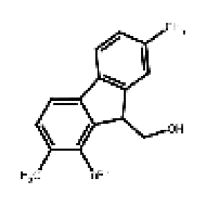 CCCc1c(C)ccc2c1C(CO)c1cc(C)ccc1-2